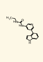 CCNC(=O)Nc1cncc(-c2cccc3[nH]ccc23)c1